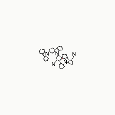 N#Cc1cc(-n2c3ccccc3c3ccc(-n4c5ccccc5c5ccccc54)cc32)ccc1-c1ccccc1-n1c2ccccc2c2c(C#N)cccc21